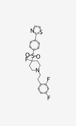 O=S(=O)(c1ccc(-c2nccs2)cc1)C1(F)CCN(CCc2ccc(F)cc2F)CC1